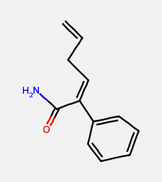 C=CCC=C(C(N)=O)c1ccccc1